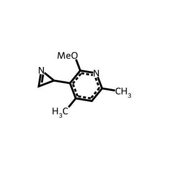 COc1nc(C)cc(C)c1C1C=N1